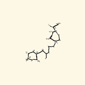 CC(CCCN1CCC(C(C)C)CC1)CC1CCNCC1